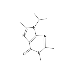 Cc1nc2c(nc(C)n2C(C)C)c(=O)n1C